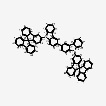 c1ccc2c(c1)-c1ccccc1C21c2ccccc2-c2cc(-n3c4ccccc4c4cc(-c5ccc6c(c5)c5ccccc5n6-c5ccc6c(c5)-c5ccccc5C65c6ccccc6-c6ccccc65)ccc43)ccc21